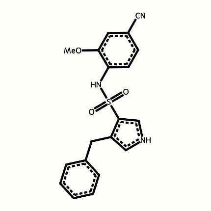 COc1cc(C#N)ccc1NS(=O)(=O)c1c[nH]cc1Cc1ccccc1